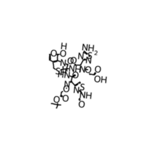 C=CC1=C(C(=O)O)N2C(=O)C(NC(=O)C(=NOCC(=O)OC(C)(C)C)c3csc(NC=O)n3)(NC(=O)C(=NOCC(=O)O)c3nsc(N)n3)[C@@H]2SC1